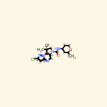 CC1CC(NC(=O)N2C[C@@](C)(C(F)(F)F)c3c2cnc2cc(Cl)nn32)CCO1